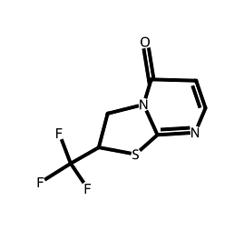 O=c1ccnc2n1CC(C(F)(F)F)S2